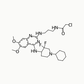 COc1cc2nc(NCCCNC(=O)CCl)nc(NC3CCN(C4CCCCC4)CC3(F)F)c2cc1OC